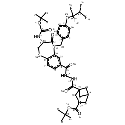 CC(C)(C)OC(=O)N[C@H]1CSc2ccc(C(=O)NNC(=O)C34CC(CN(C(=O)OC(C)(C)C)C3)C4)cc2N(Cc2ccc(OC(F)(F)C(F)F)cc2)C1=O